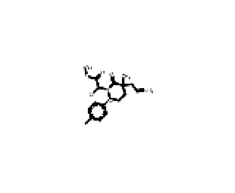 C=CCC1(C)CC[C@@H](c2ccc(Cl)cc2)N(C(CC)C(=O)OCCCC)C1=O